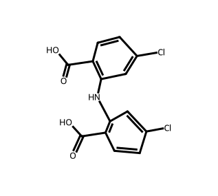 O=C(O)c1ccc(Cl)cc1Nc1cc(Cl)ccc1C(=O)O